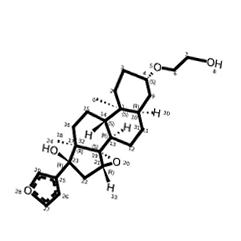 C[C@]12CC[C@H](OCCO)C[C@H]1CC[C@@H]1[C@@H]2CC[C@@]2(C)[C@@]13O[C@@H]3C[C@]2(O)c1ccoc1